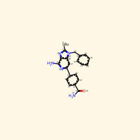 CCCCc1nc2c(N)nc(-c3ccc(C(N)=O)cc3)cc2n1Cc1ccccc1